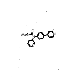 CNC(=O)N(c1ccc(-c2ccncc2)cc1)c1cccnc1